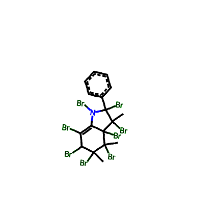 CC1(Br)C(Br)C(Br)=C2N(Br)C(Br)(c3ccccc3)C(C)(Br)C2(Br)C1(C)Br